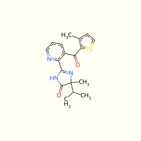 Cc1ccsc1C(=O)c1cccnc1C1=NC(C)(C(C)C)C(=O)N1